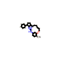 N#Cc1ccc2cc1OC/C=C/CCc1nc(nc3c1CCC3c1ccccc1)N2